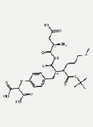 CCCCCN(C(=O)OC(C)(C)C)[C@@H](Cc1ccc(OC(C(=O)O)C(=O)O)cc1)C(=O)NC(=O)[C@H](N)CC(=O)O